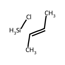 CC=CC.[SiH3]Cl